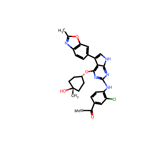 CNC(=O)c1ccc(Nc2nc(O[C@H]3CC[C@@](C)(O)CC3)c3c(-c4ccc5nc(C)oc5c4)c[nH]c3n2)c(Cl)c1